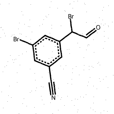 N#Cc1cc(Br)cc(C(Br)C=O)c1